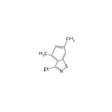 CCc1nsc2cc(C)cc(C)c12